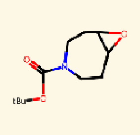 CC(C)(C)OC(=O)N1CCC2OC2CC1